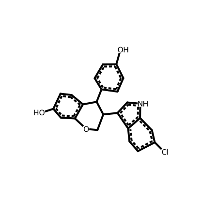 Oc1ccc(C2c3ccc(O)cc3OCC2c2c[nH]c3cc(Cl)ccc23)cc1